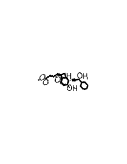 COC(=O)CC/C=C1/C[C@H]2[C@H](C#CC(O)C3CCCCC3)[C@@H](O)CC[C@@]12OC